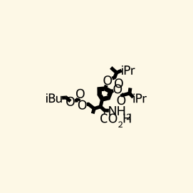 CCC(C)COC(=O)OCC(C)C(c1ccc(OC(=O)C(C)C(C)C)c(OC(=O)C(C)C(C)C)c1)[C@H](N)C(=O)O